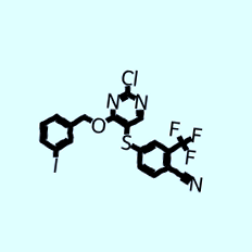 N#Cc1ccc(Sc2cnc(Cl)nc2OCc2cccc(I)c2)cc1C(F)(F)F